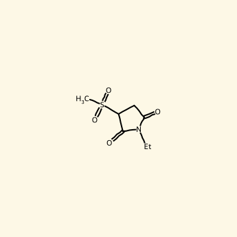 CCN1C(=O)CC(S(C)(=O)=O)C1=O